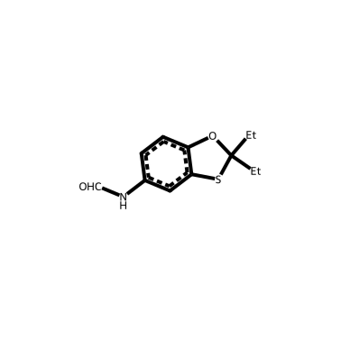 CCC1(CC)Oc2ccc(NC=O)cc2S1